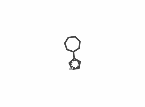 [c]1[nH]ccc1C1CCCCCC1